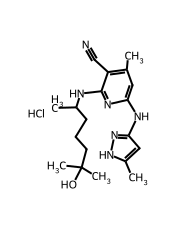 Cc1cc(Nc2cc(C)c(C#N)c(NC(C)CCCC(C)(C)O)n2)n[nH]1.Cl